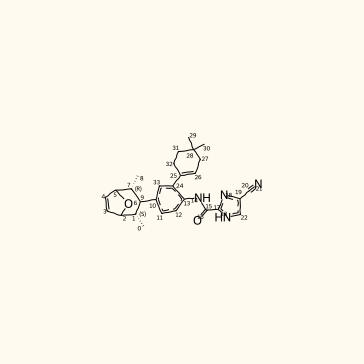 C[C@@H]1C2C=CC(O2)[C@H](C)C1c1ccc(NC(=O)c2nc(C#N)c[nH]2)c(C2=CCC(C)(C)CC2)c1